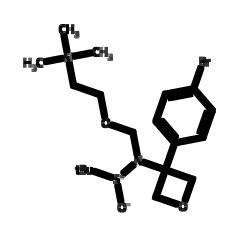 CC(C)(C)[S+]([O-])N(COCC[Si](C)(C)C)C1(c2ccc(Br)cc2)COC1